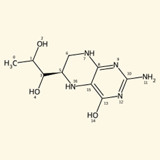 CC(O)C(O)[C@H]1CNc2nc(N)nc(O)c2N1